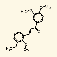 COc1ccc(C(=O)/C=C/c2cccc(OC)c2OC)cc1OC